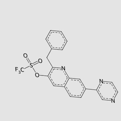 O=S(=O)(Oc1cc2ccc(-c3cnccn3)cc2nc1Cc1ccccc1)C(F)(F)F